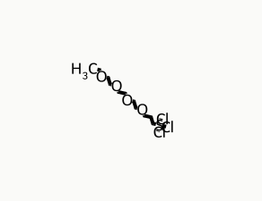 CCOCCOCCOCCOCCCS(Cl)(Cl)Cl